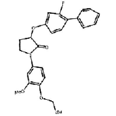 COc1cc(N2CCC(Oc3ccc(-c4ccccc4)c(F)c3)C2=O)ccc1OCC(C)(C)C